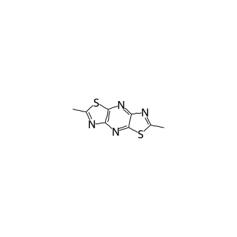 Cc1nc2nc3sc(C)nc3nc2s1